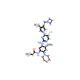 C=CC(=O)Nc1cc(Nc2ncc(F)c(-n3cc(C)c(CN4CCC4)c3)n2)c(OC)cc1N1CCOCC1